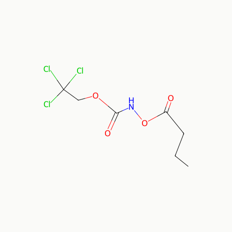 CCCC(=O)ONC(=O)OCC(Cl)(Cl)Cl